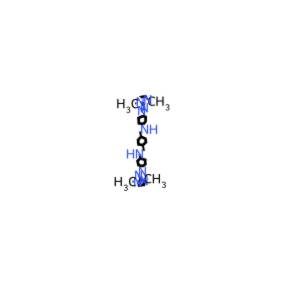 CN1C=CN(C)C1/N=N/c1ccc(NCc2ccc(CNc3ccc(/N=N/c4n(C)cc[n+]4C)cc3)cc2)cc1